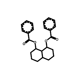 O=C(OC1CCCC2CCCC(OC(=O)c3ccccc3)C21)c1ccccc1